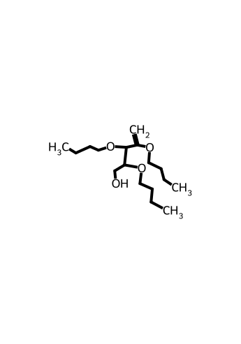 C=C(OCCCC)C(OCCCC)C(CO)OCCCC